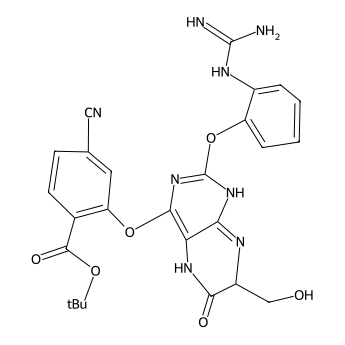 CC(C)(C)OC(=O)c1ccc(C#N)cc1OC1=C2NC(=O)C(CO)N=C2NC(Oc2ccccc2NC(=N)N)=N1